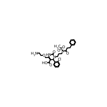 CS(=O)(=O)N(CCCN1C(=O)NC(COCCN)=C(C(=O)O)C1c1ccccc1Cl)C(=O)CCc1ccccc1